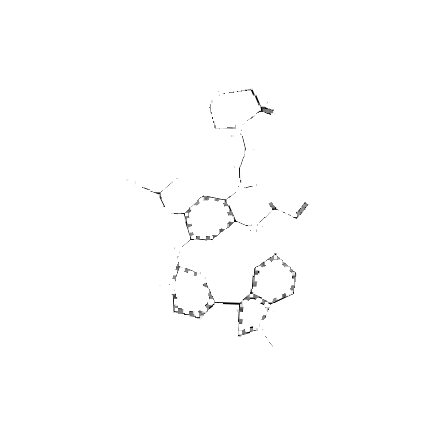 C=CC(=O)Nc1cc(Nc2nccc(-c3cn(C)c4ccccc34)n2)c(OC(F)F)cc1N(C)CCN1CCOCC1=O